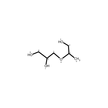 CC(CO)OCC(O)CO